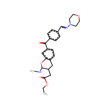 CCOC(=O)CC1Cc2ccc(C(=O)c3ccc(C=NN4CCOCC4)cc3)cc2OC1NC